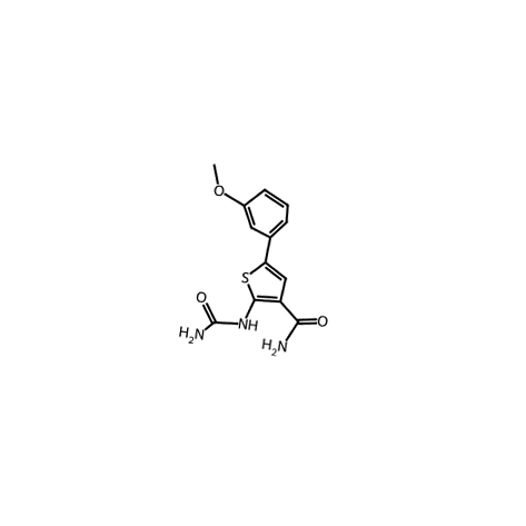 COc1cccc(-c2cc(C(N)=O)c(NC(N)=O)s2)c1